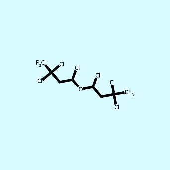 FC(F)(F)C(Cl)(Cl)CC(Cl)OC(Cl)CC(Cl)(Cl)C(F)(F)F